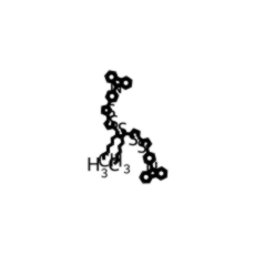 CCCCCCc1c(-c2ccc(-c3ccc(-c4ccc(-n5c6ccccc6c6ccccc65)cc4)s3)s2)sc(-c2ccc(-c3ccc(-c4ccc(-n5c6ccccc6c6ccccc65)cc4)s3)s2)c1CCCCCC